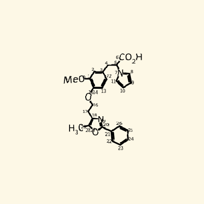 COc1cc(CC(C(=O)O)n2cccc2)ccc1OCCc1nc(-c2ccccc2)oc1C